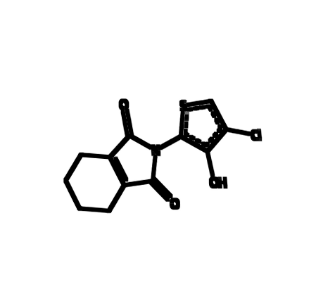 O=C1C2=C(CCCC2)C(=O)N1c1scc(Cl)c1O